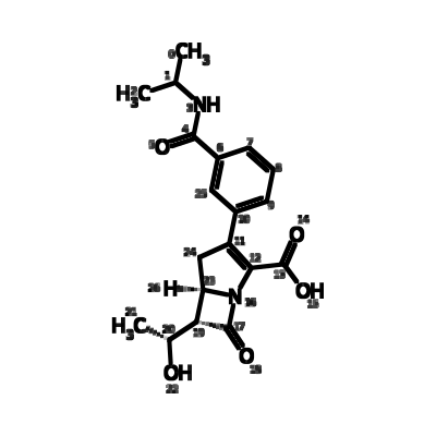 CC(C)NC(=O)c1cccc(C2=C(C(=O)O)N3C(=O)[C@H]([C@@H](C)O)[C@H]3C2)c1